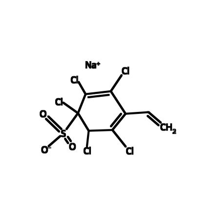 C=CC1=C(Cl)C(Cl)C(Cl)(S(=O)(=O)[O-])C(Cl)=C1Cl.[Na+]